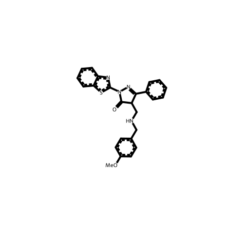 COc1ccc(CNCC2C(=O)N(c3nc4ccccc4s3)N=C2c2ccccc2)cc1